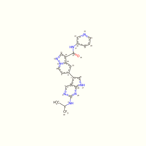 CC(Nc1ncc2c(-c3ccn4ncc(C(=O)Nc5cccnc5)c4c3)c[nH]c2n1)C(F)(F)F